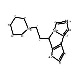 c1cc2c(s1)C(CCN1CCCCC1)n1cncc1-2